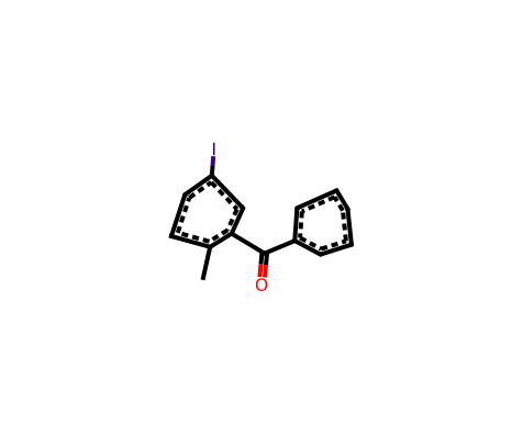 Cc1ccc(I)cc1C(=O)c1ccccc1